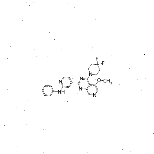 COc1cncc2nc(-c3ccnc(Nc4ccccc4)c3)nc(N3CCC(F)(F)CC3)c12